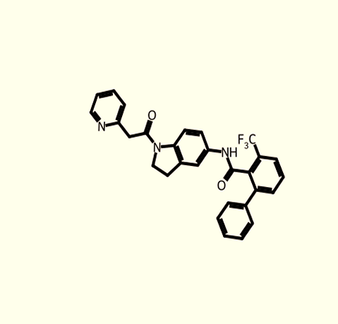 O=C(Nc1ccc2c(c1)CCN2C(=O)Cc1ccccn1)c1c(-c2ccccc2)cccc1C(F)(F)F